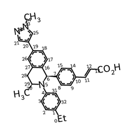 CCc1ccc(N2[C@H](c3ccc(/C=C/C(=O)O)cc3)c3ccc(-c4cnn(C)c4)cc3C[C@@H]2C)cc1